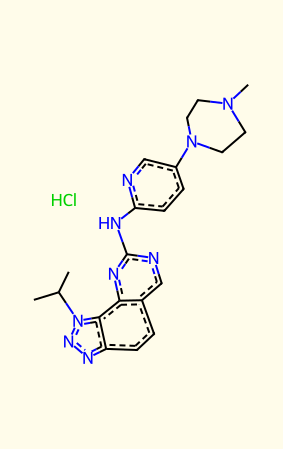 CC(C)n1nnc2ccc3cnc(Nc4ccc(N5CCN(C)CC5)cn4)nc3c21.Cl